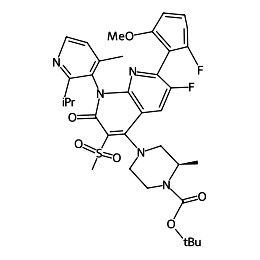 COc1cccc(F)c1-c1nc2c(cc1F)c(N1CCN(C(=O)OC(C)(C)C)[C@H](C)C1)c(S(C)(=O)=O)c(=O)n2-c1c(C)ccnc1C(C)C